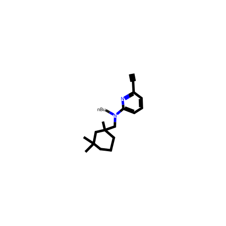 C#Cc1cccc(N(CCCC)CC2(C)CCCC(C)(C)C2)n1